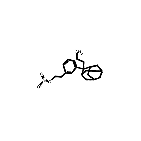 NCCC1(c2cccc(CCO[N+](=O)[O-])c2)C2CC3CC(C2)CC1C3